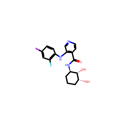 O=C(N[C@@H]1CCC[C@@H](O)[C@H]1O)c1ccncc1Nc1ccc(I)cc1F